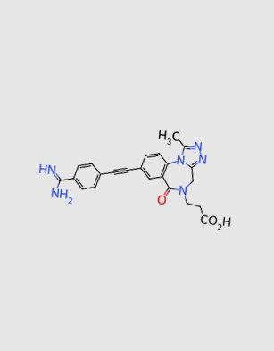 Cc1nnc2n1-c1ccc(C#Cc3ccc(C(=N)N)cc3)cc1C(=O)N(CCC(=O)O)C2